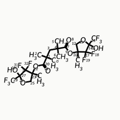 CC(C)(CC(C)(C)C(=O)OC1(C)COC(O)(C(F)(F)F)C1(F)F)C(=O)OC1(C)COC(O)(C(F)(F)F)C1(F)F